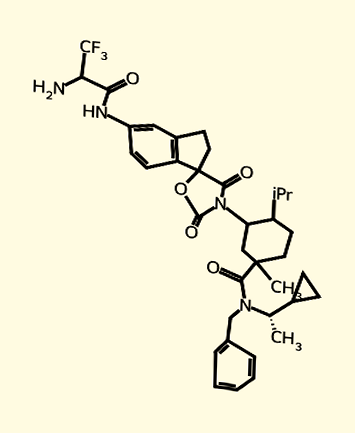 CC(C)C1CCC(C)(C(=O)N(Cc2ccccc2)[C@@H](C)C2CC2)CC1N1C(=O)OC2(CCc3cc(NC(=O)C(N)C(F)(F)F)ccc32)C1=O